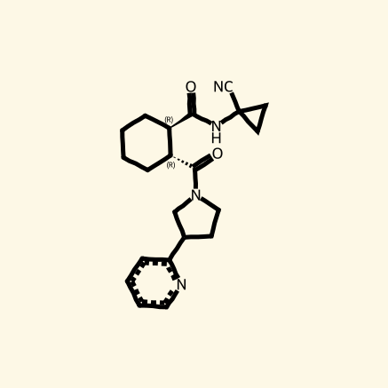 N#CC1(NC(=O)[C@@H]2CCCC[C@H]2C(=O)N2CCC(c3ccccn3)C2)CC1